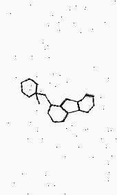 CC1(CC2CCCC3C4CCCCC4CC23)CCCCC1